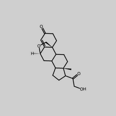 C[C@]12CCC3C(C[C@H]4OC[C@@]35CCC(=O)C=C45)C1CCC2C(=O)CO